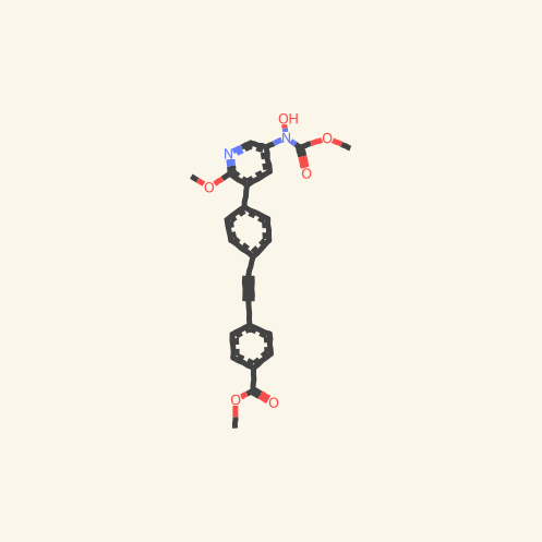 COC(=O)c1ccc(C#Cc2ccc(-c3cc(N(O)C(=O)OC)cnc3OC)cc2)cc1